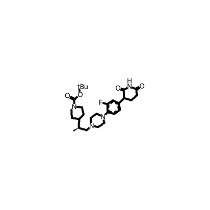 C[C@H](CN1CCN(c2ccc(C3CCC(=O)NC3=O)cc2F)CC1)C1CCN(C(=O)OC(C)(C)C)CC1